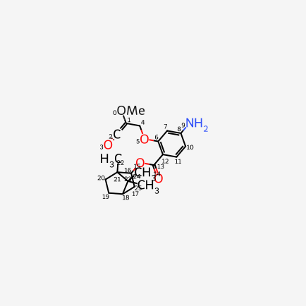 COC(=C=O)COc1cc(N)ccc1C(=O)OC1CC2CCC1(C)C2(C)C